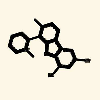 Cc1ccc2c(oc3c(C#N)cc(C(C)C)cc32)c1-c1cccc[n+]1C